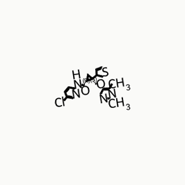 Cc1ncc(OC[C@@]2(C3C=CSC3)C[C@H]2C(=O)Nc2ccc(Cl)cn2)c(C)n1